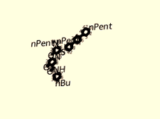 CCCCCC1CCC(c2ccc(-c3ccc(Sc4cc(N(CCCCC)CCCCC)cc5oc6cc(=O)c(C(=O)Nc7ccc(CCCC)cc7)cc-6nc45)cc3)cc2)CC1